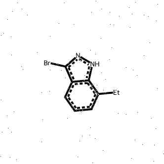 CCc1cccc2c(Br)n[nH]c12